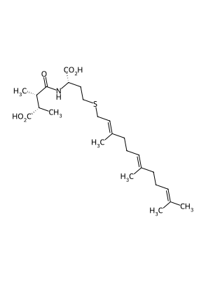 CC(C)=CCC/C(C)=C/CC/C(C)=C/CSCC[C@H](NC(=O)[C@@H](C)[C@H](C)C(=O)O)C(=O)O